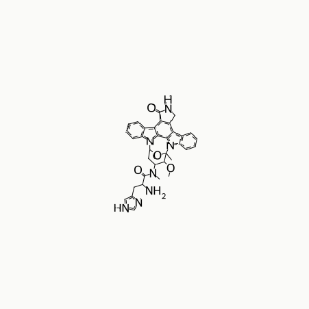 COC1C(N(C)C(=O)C(N)Cc2c[nH]cn2)CC2OC1(C)n1c3ccccc3c3c4c(c5c6ccccc6n2c5c31)C(=O)NC4